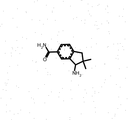 CC1(C)Cc2ccc(C(N)=O)cc2C1N